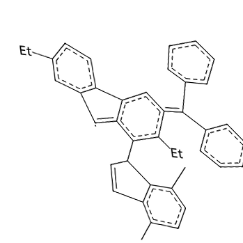 CCc1ccc2c(c1)[C]=c1c-2cc(=C(c2ccccc2)c2ccccc2)c(CC)c1C1C=Cc2c(C)ccc(C)c21